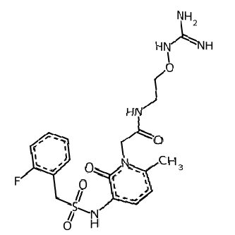 Cc1ccc(NS(=O)(=O)Cc2ccccc2F)c(=O)n1CC(=O)NCCONC(=N)N